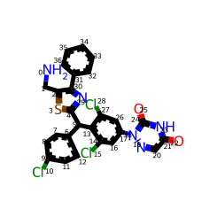 NCc1sc(C(c2ccc(Cl)cc2)c2c(Cl)cc(-n3ncc(=O)[nH]c3=O)cc2Cl)nc1-c1ccccc1